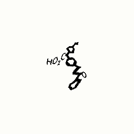 C=Cc1ccc(C(C(=O)O)c2ccc(C=CC(=O)c3ccccc3)cc2)cc1